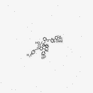 C/C=C\C(=C(/C)OC)c1nccc(COc2ccccc2C[C@@H](Oc2nsc3cnc(-c4ccnc(OCC)c4)c(-c4ccc(OCCN5CCN(C)CC5)c(Cl)c4C)c23)C(=O)O)n1